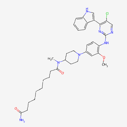 COc1cc(N2CCC(N(C)C(=O)CCCCCCCCC(N)=O)CC2)ccc1Nc1ncc(Cl)c(-c2c[nH]c3ccccc23)n1